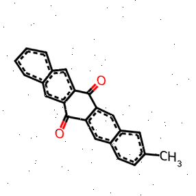 Cc1ccc2cc3c(cc2c1)C(=O)c1cc2ccccc2cc1C3=O